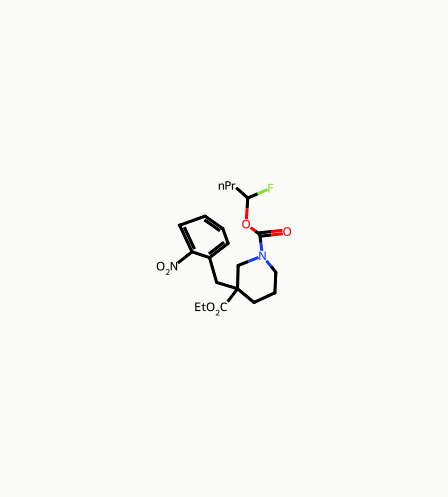 CCCC(F)OC(=O)N1CCCC(Cc2ccccc2[N+](=O)[O-])(C(=O)OCC)C1